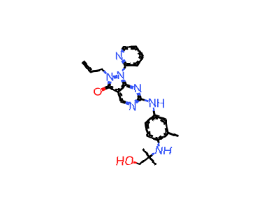 C=CCn1c(=O)c2cnc(Nc3ccc(NC(C)(C)CO)c(C)c3)nc2n1-c1ccccn1